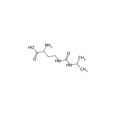 CC(C)NC(=O)NCCC(N)C(=O)O